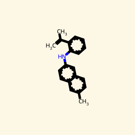 C=C(C)c1ccccc1Nc1ccc2cc(C)ccc2c1